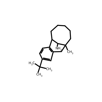 CC(C)(C)c1ccc2c(c1)CC1(C)CCCCCC2C1N